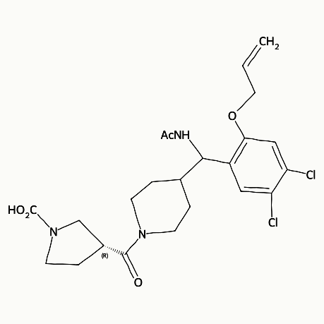 C=CCOc1cc(Cl)c(Cl)cc1C(NC(C)=O)C1CCN(C(=O)[C@@H]2CCN(C(=O)O)C2)CC1